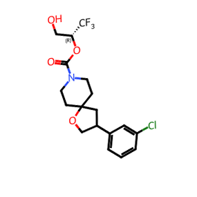 O=C(O[C@H](CO)C(F)(F)F)N1CCC2(CC1)CC(c1cccc(Cl)c1)CO2